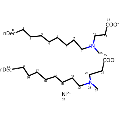 CCCCCCCCCCCCCCCCCCN(C)CCC(=O)[O-].CCCCCCCCCCCCCCCCCCN(C)CCC(=O)[O-].[Ni+2]